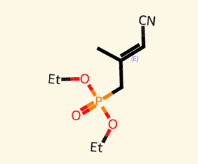 CCOP(=O)(C/C(C)=C/C#N)OCC